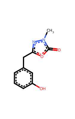 Cn1nc(Cc2cccc(O)c2)oc1=O